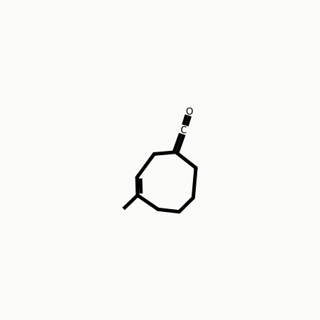 CC1=CCC(=C=O)CCCC1